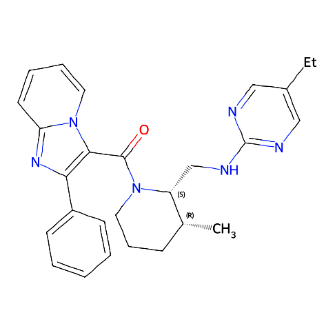 CCc1cnc(NC[C@@H]2[C@H](C)CCCN2C(=O)c2c(-c3ccccc3)nc3ccccn23)nc1